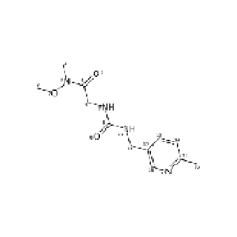 CON(C)C(=O)CNC(=O)NCc1ccc(C)nc1